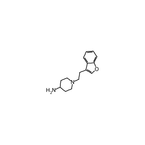 NC1CCN(CCc2coc3ccccc23)CC1